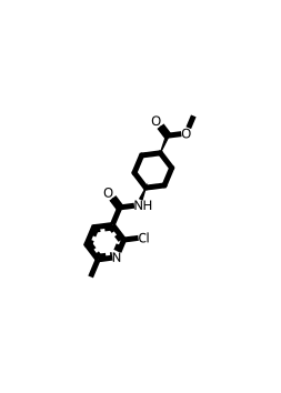 COC(=O)[C@H]1CC[C@@H](NC(=O)c2ccc(C)nc2Cl)CC1